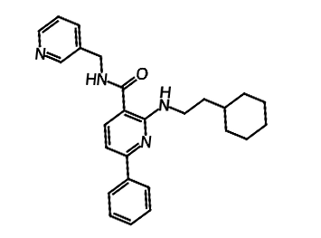 O=C(NCc1cccnc1)c1ccc(-c2ccccc2)nc1NCCC1CCCCC1